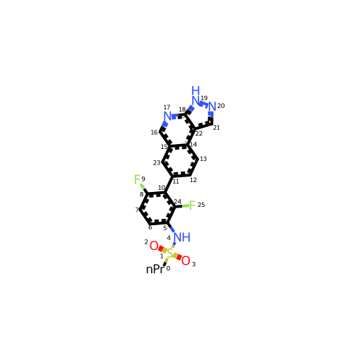 CCCS(=O)(=O)Nc1ccc(F)c(-c2ccc3c(cnc4[nH]ncc43)c2)c1F